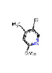 CCc1cnc(OC)cc1C